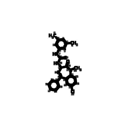 Cc1cc(C)nc(NC(=S)NC2N=C(c3ccccc3)c3cc(Cl)ccc3N(C)C2=O)c1